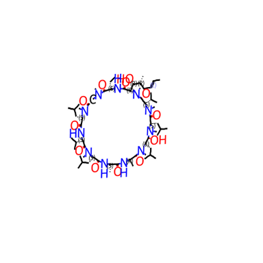 C/C=C/C[C@@H](C)[C@@H](O)[C@H]1C(=O)N[C@@H](CC)C(=O)N(C)CC(=O)N(C)[C@@H](CC(C)C)C(=O)N[C@@H](C(C)C)C(=O)N(C)[C@@H](CC(C)C)C(=O)N[C@@H](C)C(=O)N[C@H](C)C(=O)N(C)[C@@H](CC(C)C)C(O)N(C)[C@@H](CC(C)C)C(=O)N(C)[C@@H](C(C)C)C(=O)N1C